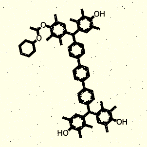 Cc1cc(C(c2ccc(-c3ccc(-c4ccc(C(c5cc(C)c(O)c(C)c5C)c5cc(C)c(OC(C)OC6CCCCC6)c(C)c5C)cc4)cc3)cc2)c2cc(C)c(O)c(C)c2C)c(C)c(C)c1O